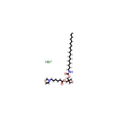 Br.CCCCCCCCCCCCCCCCCCNC(=O)OCC1(COC(=O)CCCCCN2C=CSC2)COC1